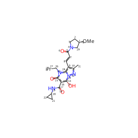 CO[C@@H]1CCN(C(=O)/C=C/c2c(C)nn3c(O)c(C(=O)NC4CC4)c(=O)n(CC(C)C)c23)C1